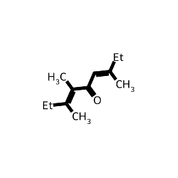 CC/C(C)=C/C(=O)/C(C)=C(\C)CC